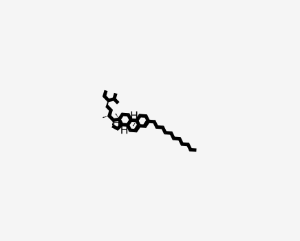 CCCCCCCCCCCC1=CC2=CC[C@H]3[C@@H]4CC[C@H]([C@H](C)CC[C@@H](CC)C(C)C)[C@@]4(C)CC[C@@H]3[C@@]2(C)CC1